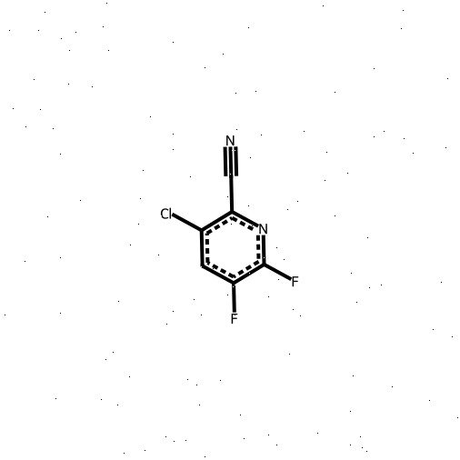 N#Cc1nc(F)c(F)cc1Cl